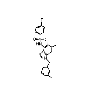 Cc1cccc(Cn2cnc3c(NS(=O)(=O)c4ccc(F)cc4)c(C)c(C)cc32)c1